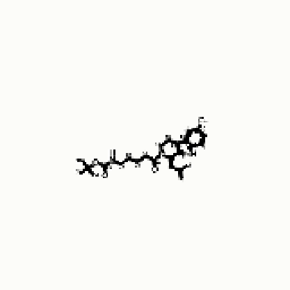 CC(C)CC1c2[nH]c3ccc(F)cc3c2CCN1C(=O)CCCCNC(=O)OC(C)(C)C